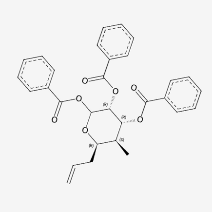 C=CC[C@H]1OC(OC(=O)c2ccccc2)[C@H](OC(=O)c2ccccc2)[C@H](OC(=O)c2ccccc2)[C@H]1C